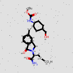 CC(C)(C)OC(=O)N[C@H]1CCC(CO)C[C@@H]1Cc1ccc2c(c1)CN([C@@H](CCC(=O)O)C(N)=O)C2=O